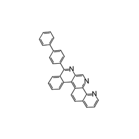 c1ccc(-c2ccc(-c3nc4cnc5c(ccc6cccnc65)c4c4ccccc34)cc2)cc1